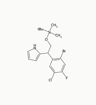 CC(C)(C)[Si](C)(C)OCC(c1ccc[nH]1)c1cc(Cl)c(F)cc1Br